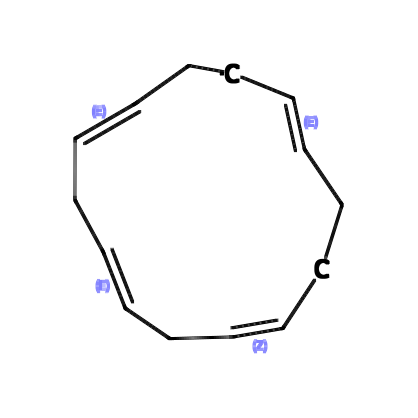 [CH]1/C=C/CC/C=C\C/C=C/C/C=C/C1